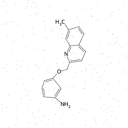 Cc1ccc2ccc(COc3cccc(N)c3)nc2c1